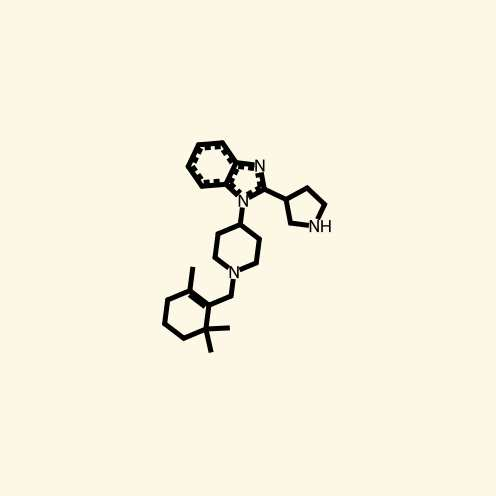 CC1=C(CN2CCC(n3c(C4CCNC4)nc4ccccc43)CC2)C(C)(C)CCC1